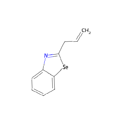 C=CCc1nc2ccccc2[se]1